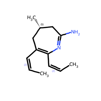 C/C=C\C1=C(/C=C\C)N=C(N)C[C@@H](C)C1